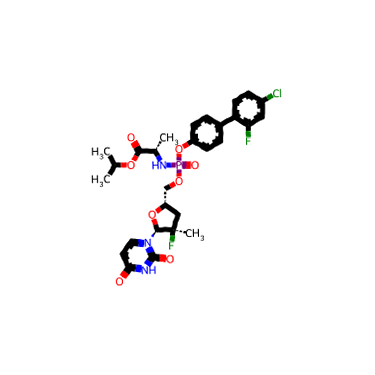 CC(C)OC(=O)[C@H](C)NP(=O)(OC[C@@H]1C[C@@](C)(F)[C@H](n2ccc(=O)[nH]c2=O)O1)Oc1ccc(-c2ccc(Cl)cc2F)cc1